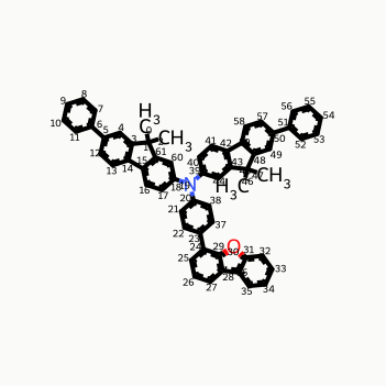 CC1(C)c2cc(-c3ccccc3)ccc2-c2ccc(N(c3ccc(-c4cccc5c4oc4ccccc45)cc3)c3ccc4c(c3)C(C)(C)c3cc(-c5ccccc5)ccc3-4)cc21